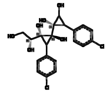 OC[C@@H](O)[C@]1(O)C(c2ccc(Cl)cc2)[C@@]1(O)[C@@]1(O)C(O)C1c1ccc(Cl)cc1